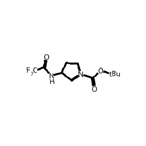 CC(C)(C)OC(=O)N1CCC(NC(=O)C(F)(F)F)C1